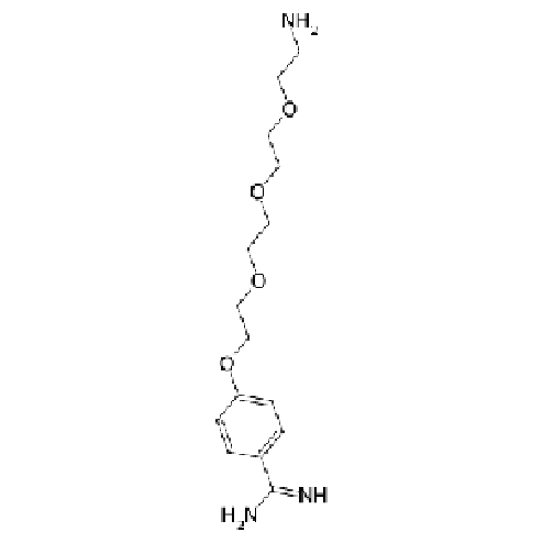 N=C(N)c1ccc(OCCOCCOCCOCCN)cc1